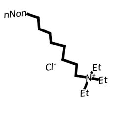 CCCCCCCCCCCCCCCCC[N+](CC)(CC)CC.[Cl-]